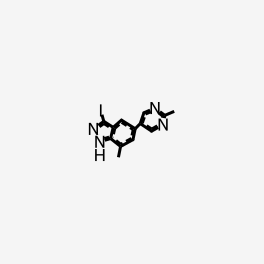 Cc1ncc(-c2cc(C)c3[nH]nc(I)c3c2)cn1